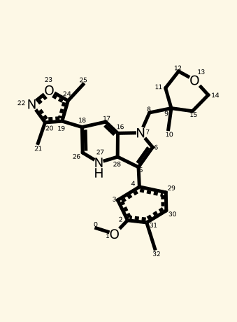 COc1cc(C2=CN(CC3(C)CCOCC3)C3=CC(c4c(C)noc4C)=CNC23)ccc1C